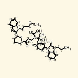 CCCn1c(=O)n(-c2ccc(C[C@H](CC(=O)N3CCC[C@@H](c4nc5ccccc5n4CCCOC)C3)N(C(=O)O)C(C)(C)C)cc2)c2ccccc21